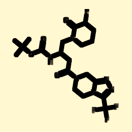 CC(C)(C)OC(=O)NC(CC(=O)N1CCn2c(nnc2C(F)(F)F)C1)CN1CCCC(F)C1=O